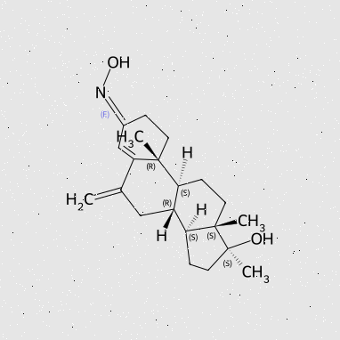 C=C1C[C@@H]2[C@H](CC[C@@]3(C)[C@H]2CC[C@]3(C)O)[C@@]2(C)CC/C(=N\O)C=C12